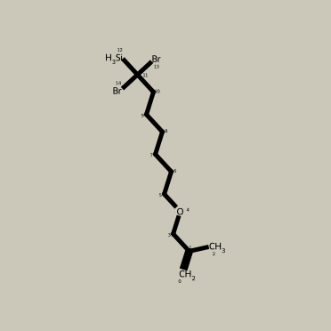 C=C(C)COCCCCCCC([SiH3])(Br)Br